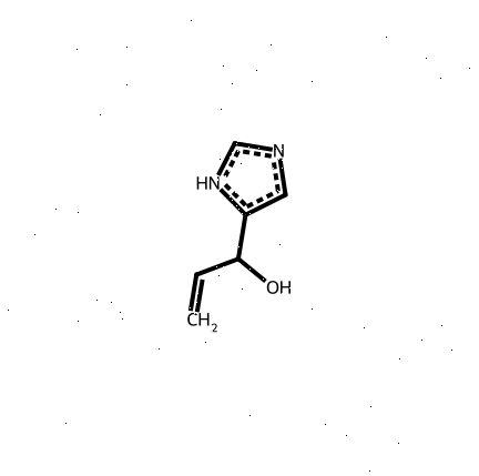 C=CC(O)c1cnc[nH]1